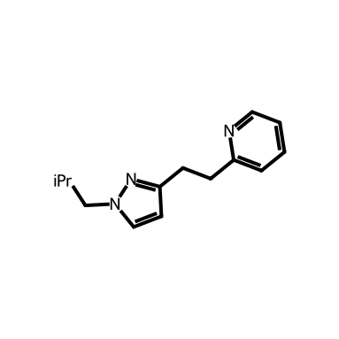 CC(C)Cn1ccc(CCc2ccccn2)n1